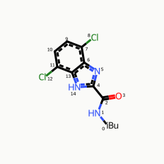 CCC(C)NC(=O)c1nc2c(Cl)ccc(Cl)c2[nH]1